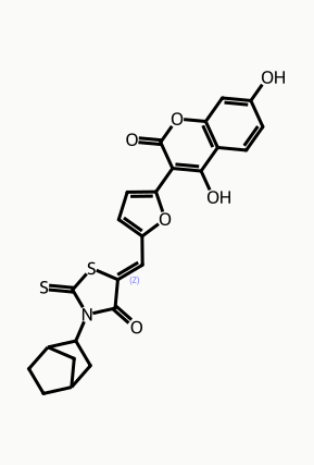 O=C1/C(=C/c2ccc(-c3c(O)c4ccc(O)cc4oc3=O)o2)SC(=S)N1C1CC2CCC1C2